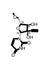 C#C[C@@]1(O)[C@H](O)[C@@H](COC)O[C@H]1n1ccc(=O)[nH]c1=O